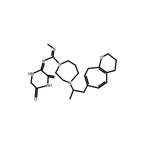 C=C1NC(=O)CN/C1=N/C(=N\C)N1CCCN(C(C)CC2=CCC3=C(C=C2)CCCO3)CC1